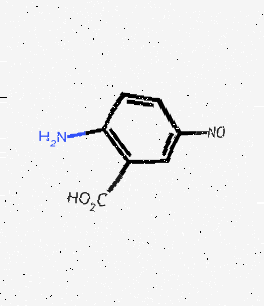 Nc1ccc(N=O)cc1C(=O)O